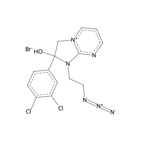 [Br-].[N-]=[N+]=NCCN1c2nccc[n+]2CC1(O)c1ccc(Cl)c(Cl)c1